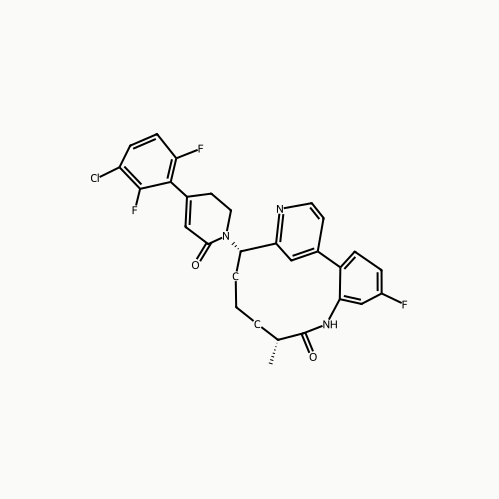 C[C@@H]1CCC[C@H](N2CCC(c3c(F)ccc(Cl)c3F)=CC2=O)c2cc(ccn2)-c2ccc(F)cc2NC1=O